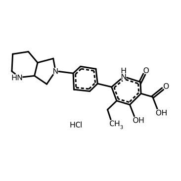 CCc1c(-c2ccc(N3CC4CCCNC4C3)cc2)[nH]c(=O)c(C(=O)O)c1O.Cl